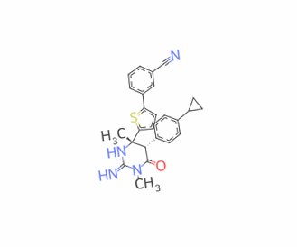 CN1C(=N)N[C@](C)(c2ccc(-c3cccc(C#N)c3)s2)[C@H](c2ccc(C3CC3)cc2)C1=O